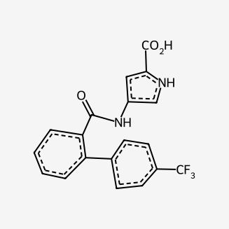 O=C(O)c1cc(NC(=O)c2ccccc2-c2ccc(C(F)(F)F)cc2)c[nH]1